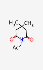 CC(=O)CN1C(=O)CC(C)(C)CC1=O